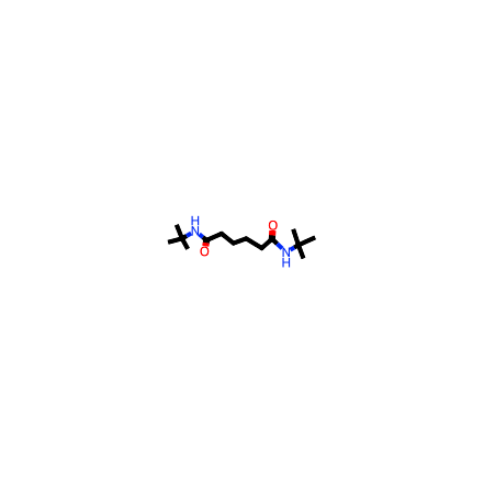 CC(C)(C)NC(=O)CCCCC(=O)NC(C)(C)C